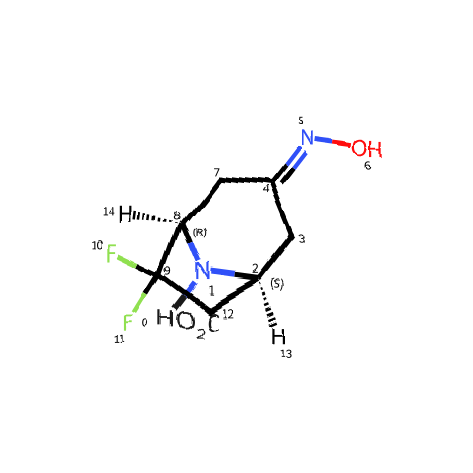 O=C(O)N1[C@H]2CC(=NO)C[C@@H]1C(F)(F)C2